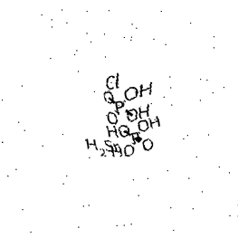 O=P(O)(O)O.O=P(O)(O)OCl.[SrH2]